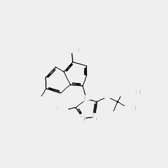 Cc1ccc2c(C)ccc(-n3c(SC(C)(C)C(=O)O)nnc3C(F)(F)F)c2c1